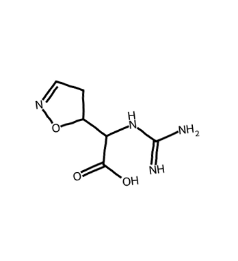 N=C(N)NC(C(=O)O)C1CC=NO1